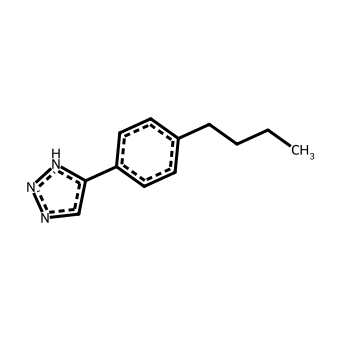 CCCCc1ccc(-c2cnn[nH]2)cc1